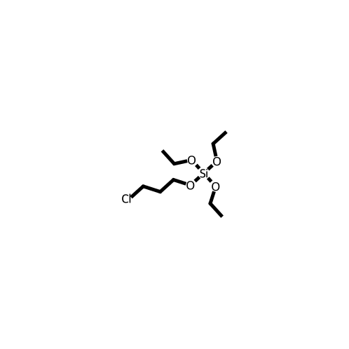 CCO[Si](OCC)(OCC)OCCCCl